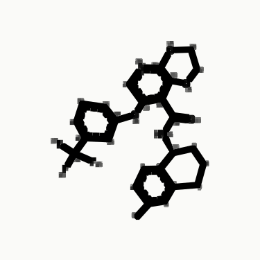 Cc1ccc2c(c1)CCC[C@@H]2NC(=O)c1c(Oc2cccc(C(F)(F)F)c2)cnc2c1OCCO2